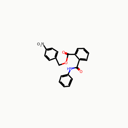 O=C(Nc1ccccc1)c1ccccc1C(=O)OCc1ccc([N+](=O)[O-])cc1